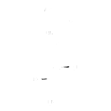 NC[C@@H](O)[C@H](O)CONC(=O)C(F)(F)F